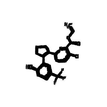 CCOC(=O)c1nc(C2=C(c3cc(C(F)(F)F)ccc3O)CCC2)ccc1Cl